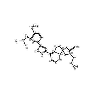 CC(C)Oc1ccc(-c2nc(-c3cccc4c3CCC43CC(=O)N(CCO)C3)no2)cc1OC(F)F